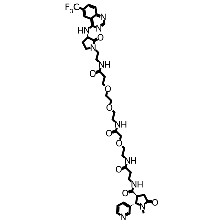 CN1C(=O)C[C@H](C(=O)NCCC(=O)NCCOCC(=O)NCCOCCOCCC(=O)NCCN2CC[C@H](Nc3ncnc4ccc(C(F)(F)F)cc34)C2=O)[C@H]1c1cccnc1